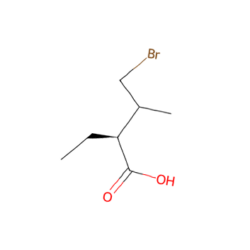 CC[C@H](C(=O)O)C(C)CBr